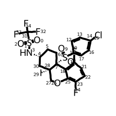 O=S(=O)(N[C@@H]1CC[C@@]2(S(=O)(=O)c3ccc(Cl)cc3)c3c(F)ccc(F)c3OC[C@@]2(I)C1)C(F)(F)F